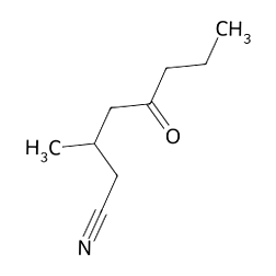 CCCC(=O)CC(C)CC#N